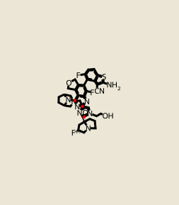 N#Cc1c(N)sc2ccc(F)c(-c3c4c(c5c(N6C7CCC6CN(Cc6cn(CCO)cn6)C7)nc(OC[C@@]67CCCN6C[C@H](F)C7)nc5c3F)COC4)c12